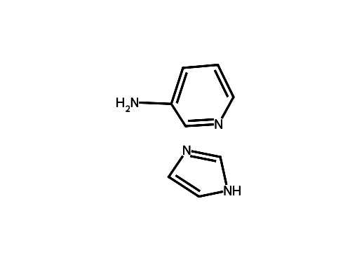 Nc1cccnc1.c1c[nH]cn1